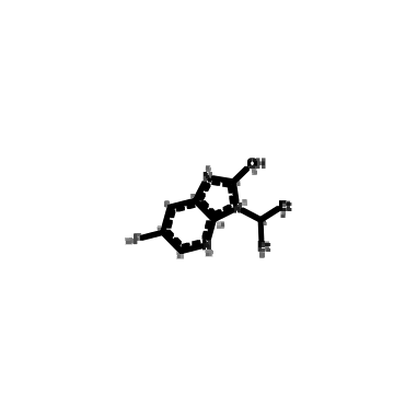 CCC(CC)n1c(O)nc2cc(F)cnc21